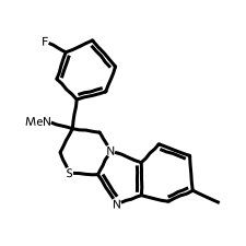 CNC1(c2cccc(F)c2)CSc2nc3cc(C)ccc3n2C1